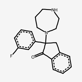 O=C1c2ccccc2CC1(c1cccc(F)c1)N1CCCNCC1